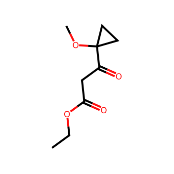 CCOC(=O)CC(=O)C1(OC)CC1